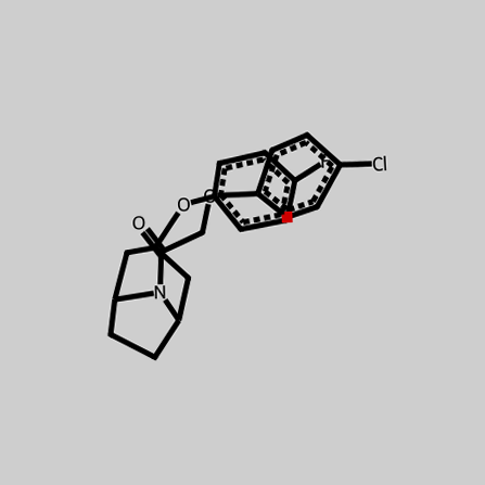 O=C(COc1ccc(Cl)cc1)N1C2CCC1CC(Oc1ccc(F)cc1)C2